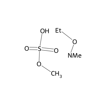 CCONC.COS(=O)(=O)O